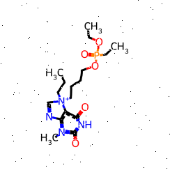 CCC[N+]1(CCCCOP(=O)(CC)OCC)C=Nc2c1c(=O)[nH]c(=O)n2C